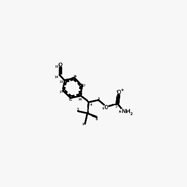 CC(C)(C)C(COC(N)=O)c1ccc(C=O)cc1